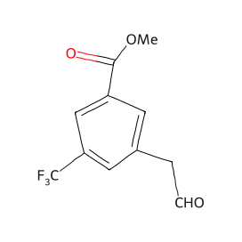 COC(=O)c1cc(CC=O)cc(C(F)(F)F)c1